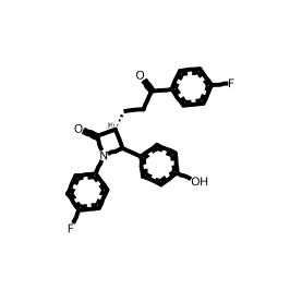 O=C(CC[C@H]1C(=O)N(c2ccc(F)cc2)C1c1ccc(O)cc1)c1ccc(F)cc1